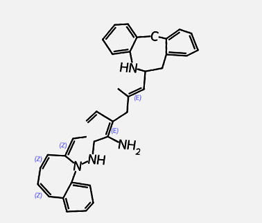 C=C/C(C/C(C)=C/C1Cc2ccccc2Cc2ccccc2N1)=C(/N)CNN1C(=C\C)/C=C\C=C/c2ccccc21